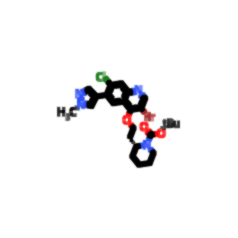 Cn1cc(-c2cc3c(OCC[C@H]4CCCCN4C(=O)OC(C)(C)C)c(Br)cnc3cc2Cl)cn1